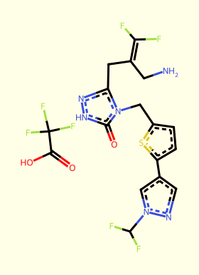 NCC(Cc1n[nH]c(=O)n1Cc1ccc(-c2cnn(C(F)F)c2)s1)=C(F)F.O=C(O)C(F)(F)F